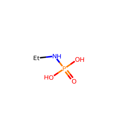 CCNP(=O)(O)O